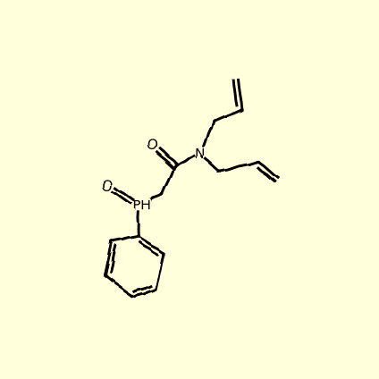 C=CCN(CC=C)C(=O)C[PH](=O)c1ccccc1